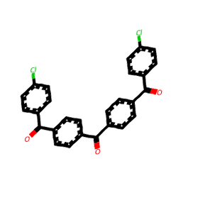 O=C(c1ccc(Cl)cc1)c1ccc(C(=O)c2ccc(C(=O)c3ccc(Cl)cc3)cc2)cc1